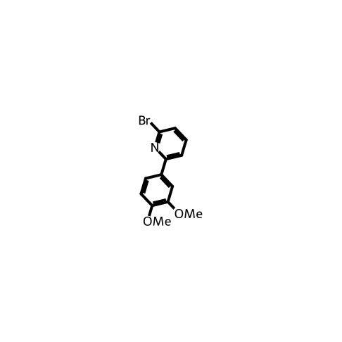 COc1ccc(-c2cccc(Br)n2)cc1OC